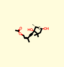 CC(=O)OC/C=C(/C)C#C[C@@]1(O)[C@H](C)C[C@@H](O)CC1(C)C